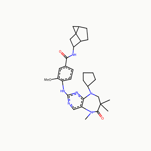 COc1cc(C(=O)NC2CC34CC3CCC24)ccc1Nc1ncc2c(n1)N(C1CCCC1)CC(C)(C)C(=O)N2C